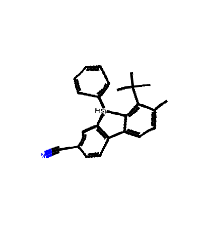 Cc1ccc2c(c1C(C)(C)C)[SiH](c1ccccc1)c1cc(C#N)ccc1-2